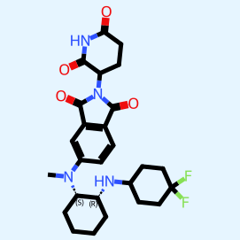 CN(c1ccc2c(c1)C(=O)N(C1CCC(=O)NC1=O)C2=O)[C@H]1CCCC[C@H]1NC1CCC(F)(F)CC1